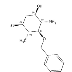 CC[C@H]1C[C@@H](O)[C@H](N)[C@@H](OCc2ccccc2)[C@@H]1C